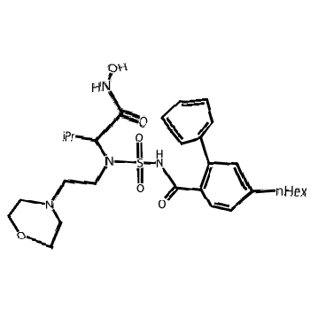 CCCCCCc1ccc(C(=O)NS(=O)(=O)N(CCN2CCOCC2)C(C(=O)NO)C(C)C)c(-c2ccccc2)c1